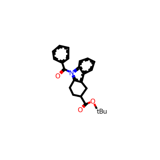 CC(C)(C)OC(=O)C1CCc2c(c3ccccc3n2C(=O)c2ccccc2)C1